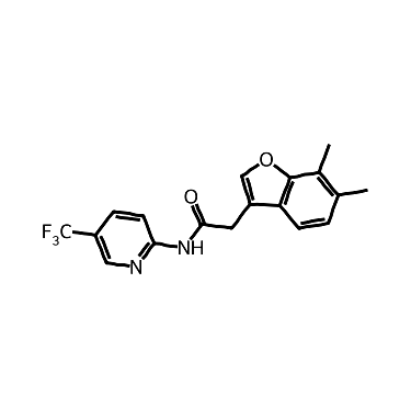 Cc1ccc2c(CC(=O)Nc3ccc(C(F)(F)F)cn3)coc2c1C